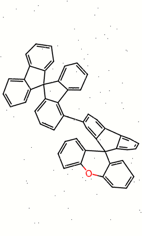 c1ccc2c(c1)Oc1ccccc1C21c2ccccc2-c2ccc(-c3cccc4c3-c3ccccc3C43c4ccccc4-c4ccccc43)cc21